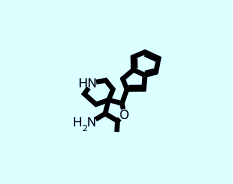 CC1OC(C2=Cc3ccccc3C2)C2(CCNCC2)C1N